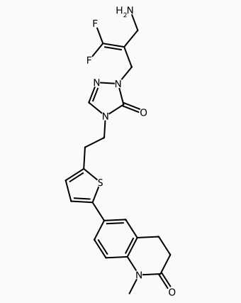 CN1C(=O)CCc2cc(-c3ccc(CCn4cnn(CC(CN)=C(F)F)c4=O)s3)ccc21